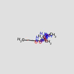 CCCCCCCCCCCCCCCCCC(=O)NCCCCC(=O)N1CCN(c2cc(OC)c(Cn3cc4nc(N)nc(NCCCC)c4n3)c(OC)c2)CC1